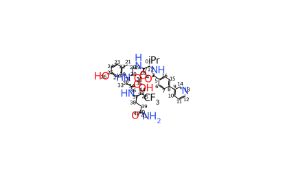 CC(C)[C@H](NC(=O)c1ccc(-c2cccnc2)cc1)C(=O)N[C@@H](Cc1ccc(O)cc1)C(=O)N[C@@H](C)C(=O)NC(CCC(N)=O)C(O)C(F)(F)F